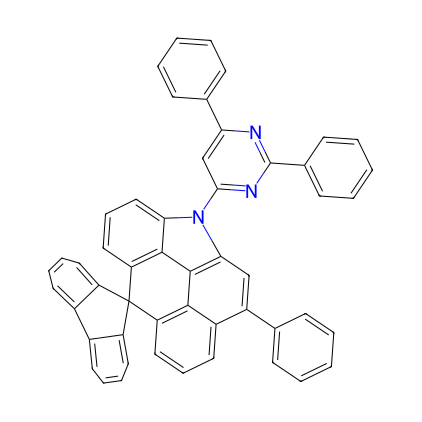 c1ccc(-c2cc(-n3c4cccc5c4c4c6c(cccc6c(-c6ccccc6)cc43)C53c4ccccc4-c4ccccc43)nc(-c3ccccc3)n2)cc1